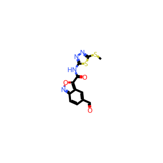 CSc1nnc(NC(=O)c2onc3ccc(C=O)cc23)s1